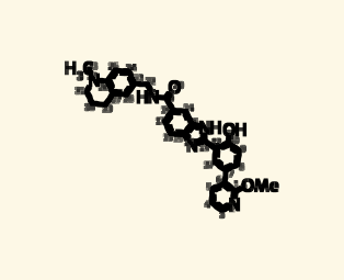 COc1ncccc1-c1ccc(O)c(-c2nc3ccc(C(=O)NCc4ccc5c(c4)CCCN5C)cc3[nH]2)c1